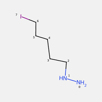 NNCCCCCI